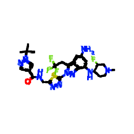 CN1CC[C@@H](Nc2cc(N)cc3c(CC(F)(F)F)n(-c4nnc(CNC(=O)c5cnn(C(C)(C)C)c5)s4)nc23)[C@@H](F)C1